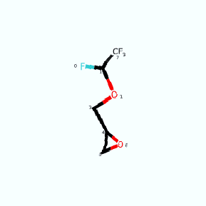 FC(OCC1CO1)C(F)(F)F